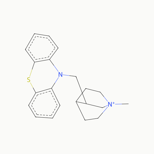 C[N+]12CCC(CC1)C(CN1c3ccccc3Sc3ccccc31)C2